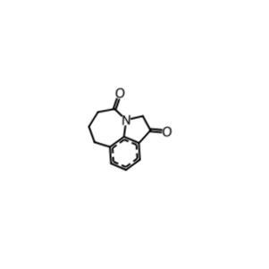 O=C1CN2C(=O)CCCc3cccc1c32